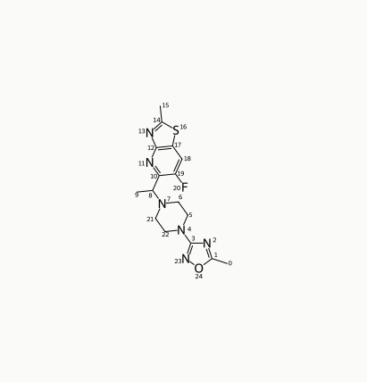 Cc1nc(N2CCN(C(C)c3nc4nc(C)sc4cc3F)CC2)no1